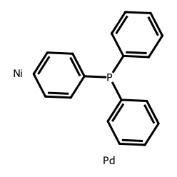 [Ni].[Pd].c1ccc(P(c2ccccc2)c2ccccc2)cc1